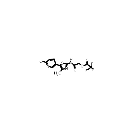 Cc1nc(NC(=O)COC(=O)C(F)(F)F)sc1-c1ccc(Cl)nc1